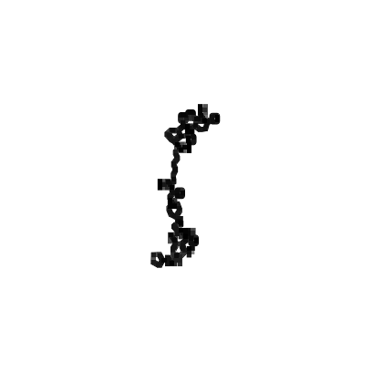 O=C(CN1CCC(SCc2nc3cc(NC4CCCC4)cc(F)c3c(=O)[nH]2)CC1)NCCCCCCNc1cccc2c1C(=O)N(C1CCC(=O)NC1=O)C2=O